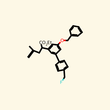 C=C(C)CC(C(=O)OCC)c1cc(OCc2ccccc2)cc(-c2ccc(CF)cc2)c1